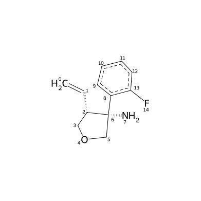 C=C[C@H]1COC[C@]1(N)c1ccccc1F